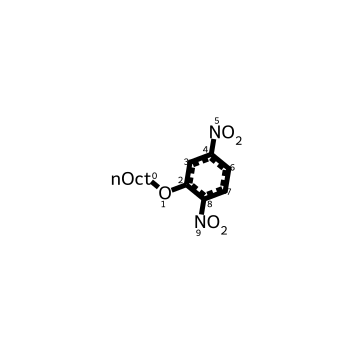 [CH2]CCCCCCCOc1cc([N+](=O)[O-])ccc1[N+](=O)[O-]